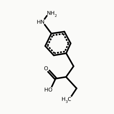 CCC(Cc1ccc(NN)cc1)C(=O)O